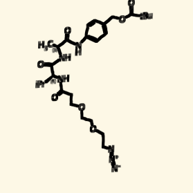 CC(C)[C@H](NC(=O)CCOCCOCCN=[N+]=[N-])C(=O)N[C@@H](C)C(=O)Nc1ccc(COC(=O)C(C)(C)C)cc1